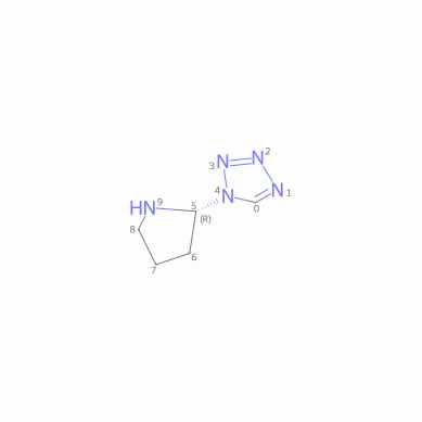 c1nnnn1[C@@H]1CCCN1